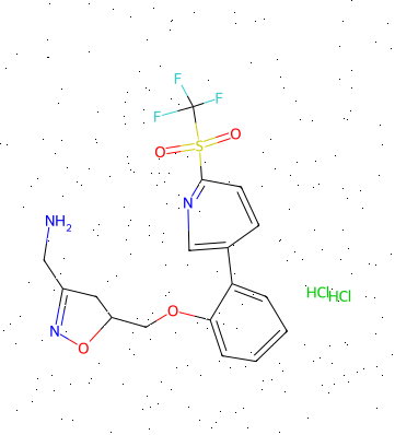 Cl.Cl.NCC1=NOC(COc2ccccc2-c2ccc(S(=O)(=O)C(F)(F)F)nc2)C1